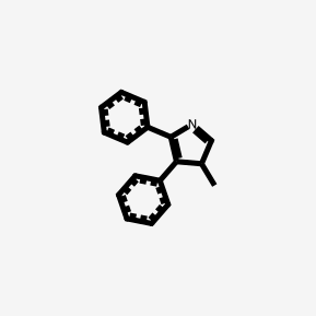 CC1C=NC(c2ccccc2)=C1c1ccccc1